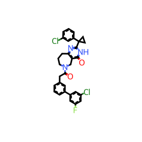 O=C(Cc1cccc(-c2cc(F)cc(Cl)c2)c1)N1CCCc2nc(C3(c4cccc(Cl)c4)CC3)[nH]c(=O)c2C1